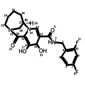 O=C(NCc1ccc(F)cc1F)C1=CN2C(=C(O)C1O)C(=O)N1CCCC[C@@H]2C1